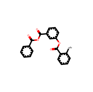 CCCc1ccccc1C(=O)Oc1cccc(C(=O)OC(=O)c2ccccc2)c1